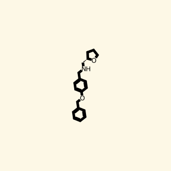 c1ccc(COc2ccc(CNC[C@@H]3CCCO3)cc2)cc1